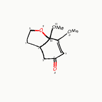 COC1=CC(=O)CC2CCOC12OC